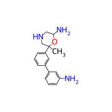 CC1(c2cccc(-c3cccc(N)c3)c2)CNCC(N)O1